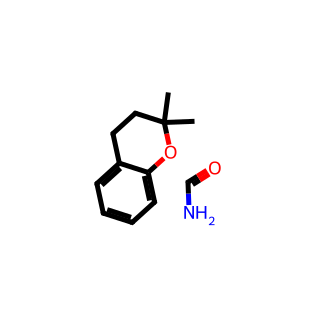 CC1(C)CCc2ccccc2O1.NC=O